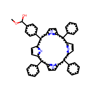 COC(O)c1ccc(-c2c3nc(c(-c4ccccc4)c4ccc([nH]4)c(-c4ccccc4)c4nc(c(-c5ccccc5)c5ccc2[nH]5)C=C4)C=C3)cc1